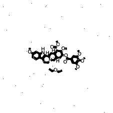 CCOCC.COC(=O)[C@H]1[C@H]2C[C@@H]3c4[nH]c5cc(OC)ccc5c4CCN3C[C@H]2C[C@@H](OC(=O)c2cc(OC)c(OC)c(OC)c2)[C@@H]1OC